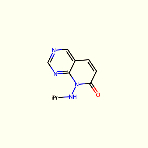 CC(C)Nn1c(=O)ccc2cncnc21